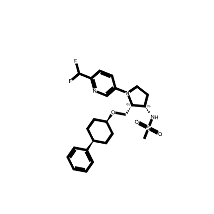 CS(=O)(=O)N[C@H]1CCN(c2ccc(C(F)F)nc2)[C@H]1CO[C@H]1CC[C@@H](c2ccccc2)CC1